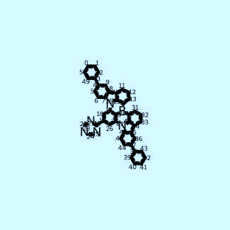 c1ccc(-c2ccc3c(c2)c2cccc4c2n3-c2cc(-c3ncncn3)cc3c2B4c2cccc4c5cc(-c6ccccc6)ccc5n-3c24)cc1